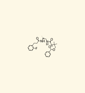 C[C@H](CNC(=O)[C@@H]1OC(c2ccccc2)OCC1(C)C)NC(=O)CCc1ccccc1F